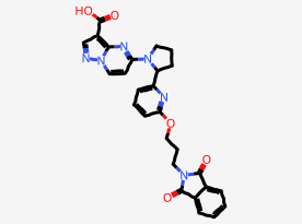 O=C(O)c1cnn2ccc(N3CCCC3c3cccc(OCCCN4C(=O)c5ccccc5C4=O)n3)nc12